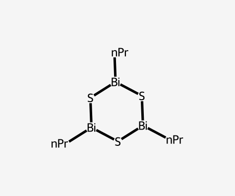 CC[CH2][Bi]1[S][Bi]([CH2]CC)[S][Bi]([CH2]CC)[S]1